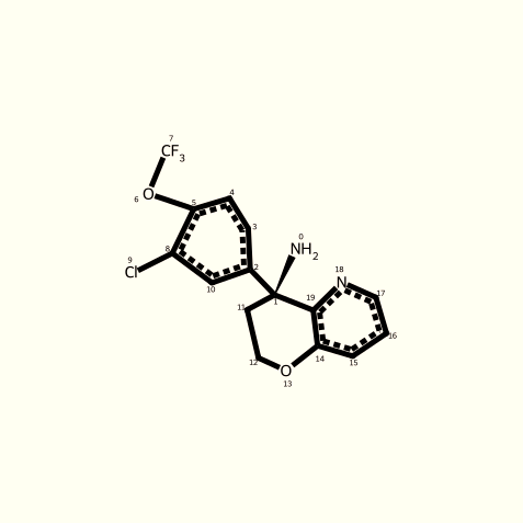 N[C@]1(c2ccc(OC(F)(F)F)c(Cl)c2)CCOc2cccnc21